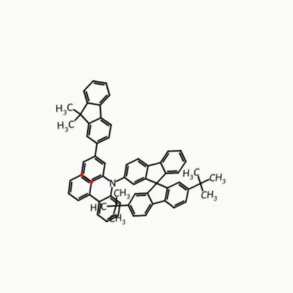 CC(C)(C)c1ccc2c(c1)C1(c3ccccc3-c3ccc(N(c4cccc(-c5ccc6c(c5)C(C)(C)c5ccccc5-6)c4)c4ccccc4-c4ccccc4)cc31)c1cc(C(C)(C)C)ccc1-2